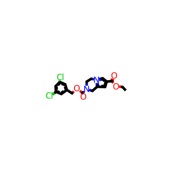 CCOC(=O)c1cc2n(c1)CCN(C(=O)OCc1cc(Cl)cc(Cl)c1)C2